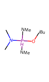 CCC(C)O[PH](NC)(NC)N(C)C